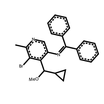 COC(c1c(N=C(c2ccccc2)c2ccccc2)cnc(C)c1Br)C1CC1